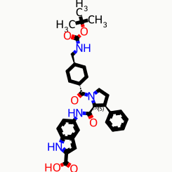 CC(C)(C)OC(=O)NC[C@H]1CC[C@H](C(=O)N2CC[C@@H](c3ccccc3)[C@H]2C(=O)Nc2ccc3[nH]c(C(=O)O)cc3c2)CC1